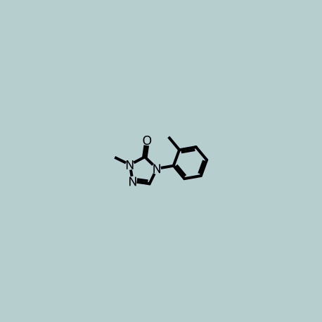 Cc1ccccc1-n1cnn(C)c1=O